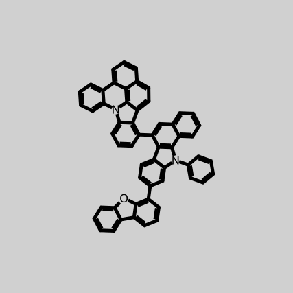 c1ccc(-n2c3cc(-c4cccc5c4oc4ccccc45)ccc3c3c(-c4cccc5c4c4ccc6cccc7c8ccccc8n5c4c67)cc4ccccc4c32)cc1